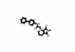 CN1C(=O)C2=C(C1=O)N(CC(=O)Nc1ccc(-c3ccccc3)nc1)CCC2